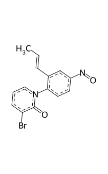 CC=Cc1cc(N=O)ccc1-n1cccc(Br)c1=O